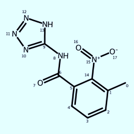 Cc1cccc(C(=O)Nc2nnn[nH]2)c1[N+](=O)[O-]